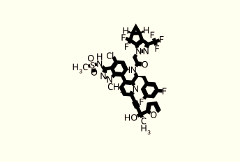 Cn1nc(NS(C)(=O)=O)c2c(Cl)ccc(-c3ccc(C#CC(C)(O)c4ccco4)nc3[C@H](Cc3cc(F)cc(F)c3)NC(=O)Cn3nc(C(F)(F)F)c4c3C(F)(F)[C@@H]3C[C@H]43)c21